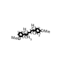 COc1ccc(C(C)(C)CCCCC(C)(C)c2cccc(OC)c2)cc1